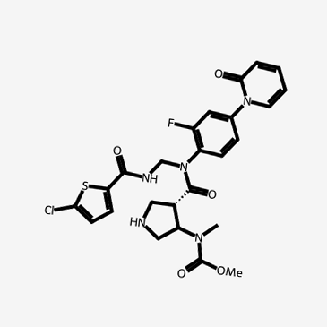 COC(=O)N(C)C1CNC[C@@H]1C(=O)N(CNC(=O)c1ccc(Cl)s1)c1ccc(-n2ccccc2=O)cc1F